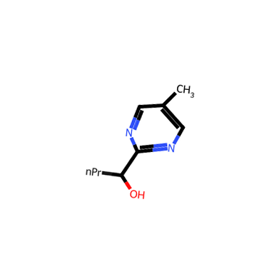 CCCC(O)c1ncc(C)cn1